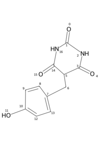 O=C1NC(=O)C(Cc2ccc(O)cc2)C(=O)N1